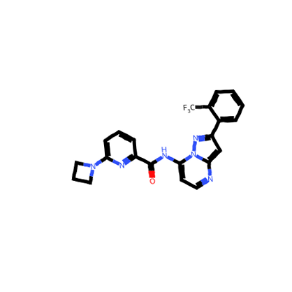 O=C(Nc1ccnc2cc(-c3ccccc3C(F)(F)F)nn12)c1cccc(N2CCC2)n1